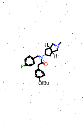 CC(C)COc1ccc(CC(=O)N(Cc2ccc(F)cc2)[C@@H]2C[C@@H]3CN(C)C[C@@H]3C2)cc1